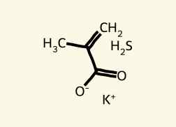 C=C(C)C(=O)[O-].S.[K+]